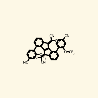 N#CC(C#N)=C1C2=C(C(=C(C#N)C#N)c3cccc(-c4ccc(C#N)cc4OC(F)(F)F)c32)c2c1cccc2-c1ccc(C#N)cc1OC(F)(F)F